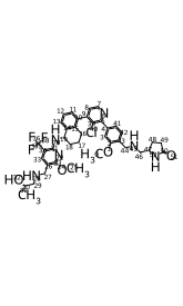 COc1cc(-c2nccc(-c3cccc4c3CCC[C@@H]4Nc3nc(OC)c(CNC[C@H](C)O)cc3C(F)(F)F)c2Cl)ccc1CNC[C@H]1CCC(=O)N1